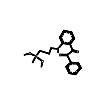 CO[Si](C)(CCCNc1ccccc1C(=O)C(=O)c1ccccc1)OC